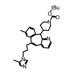 Cc1ccc2c(c1)C(CCCn1cncc1C)=Cc1cccnc1C2C1CCN(C(=O)OC(C)(C)C)CC1